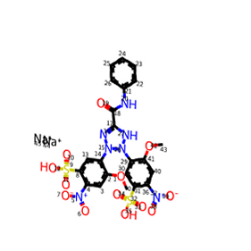 COc1cc([N+](=O)[O-])c(S(=O)(=O)O)cc1N1N=C(C(=O)Nc2ccccc2)NN1c1cc(S(=O)(=O)O)c([N+](=O)[O-])cc1OC.[Na+].[Na+]